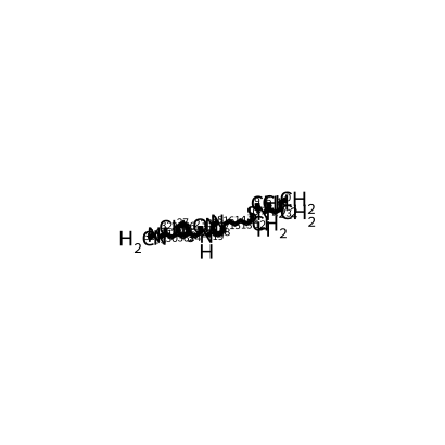 C=CC(=C)CC(=C)NC(=C)SC(=C)CCCCc1ccc(NC(=O)Cc2cccc(C/C(C)=N/N=C)c2)nn1